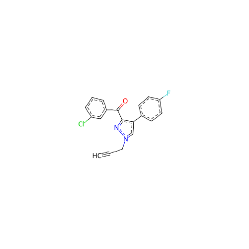 C#CCn1cc(-c2ccc(F)cc2)c(C(=O)c2cccc(Cl)c2)n1